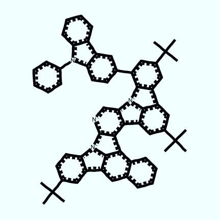 CC(C)(C)c1ccc2c(c1)c1cc3ccccc3c3c4c5c6cc(C(C)(C)C)cc7c8cc(C(C)(C)C)cc(-c9ccc%10c(c9)c9ccccc9n%10-c9ccccc9)c8n(c5cnc4n2c13)c76